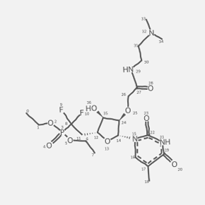 CCOP(=O)(OCC)C(F)(F)C[C@H]1O[C@@H](n2cc(C)c(=O)[nH]c2=O)[C@H](OCC(=O)NCCN(C)C)[C@@H]1O